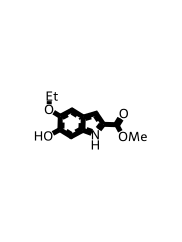 CCOc1cc2cc(C(=O)OC)[nH]c2cc1O